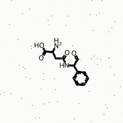 NC(CC(=O)NC([C]=O)c1ccccc1)C(=O)O